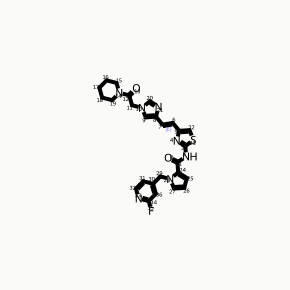 O=C(Nc1nc(/C=C/c2cn(CC(=O)N3CCCCC3)cn2)cs1)c1cccn1Cc1ccnc(F)c1